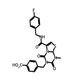 CN1C(=O)N(Cc2ccc(C(=O)O)cc2)C(=O)N2C(C(=O)NCc3ccc(F)cc3)=CSC12